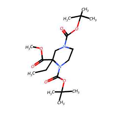 CCC1(C(=O)OC)CN(C(=O)OC(C)(C)C)CCN1C(=O)OC(C)(C)C